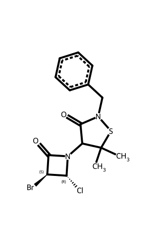 CC1(C)SN(Cc2ccccc2)C(=O)C1N1C(=O)[C@H](Br)[C@H]1Cl